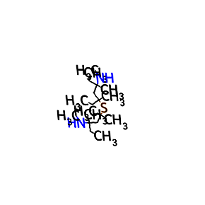 CCC(C)(CC(C)(C)SC(C)(CC)CC(C)(CC)NC)NC